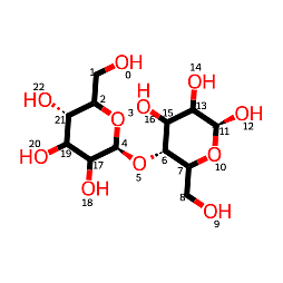 OCC1O[C@@H](O[C@H]2C(CO)O[C@H](O)C(O)C2O)C(O)C(O)[C@@H]1O